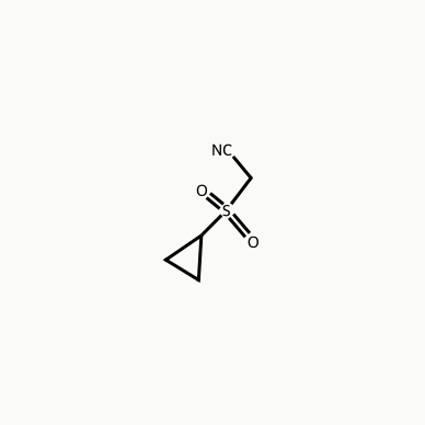 N#CCS(=O)(=O)C1CC1